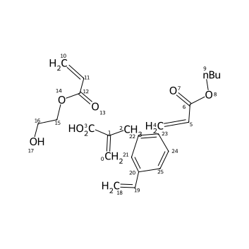 C=C(C)C(=O)O.C=CC(=O)OCCCC.C=CC(=O)OCCO.C=Cc1ccccc1